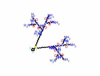 NCCNC(=O)CCN(CCNC(=O)CCN(CCC(=O)NCCN(CCC(=O)NCCN)CCC(=O)NCCN)C/C(N)=C/N(N)CCCCCCCCCCCSC(SCCCCCCCCCCCN(N)/C=C(\N)CN(CCC(=O)NCCN(CCC(=O)NCCN)CCC(=O)NCCN)CCC(=O)NCCN(CCC(=O)NCCN)CCC(=O)NCCN)c1cc(F)cc(F)c1)CCC(=O)NCCN